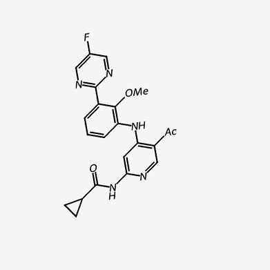 COc1c(Nc2cc(NC(=O)C3CC3)ncc2C(C)=O)cccc1-c1ncc(F)cn1